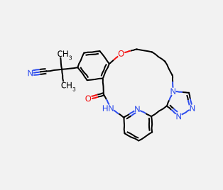 CC(C)(C#N)c1ccc2c(c1)C(=O)Nc1cccc(n1)-c1nncn1CCCCO2